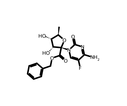 C[C@H]1O[C@@](C(=O)OCc2ccccc2)(n2cc(F)c(N)nc2=O)[C@H](O)[C@@H]1O